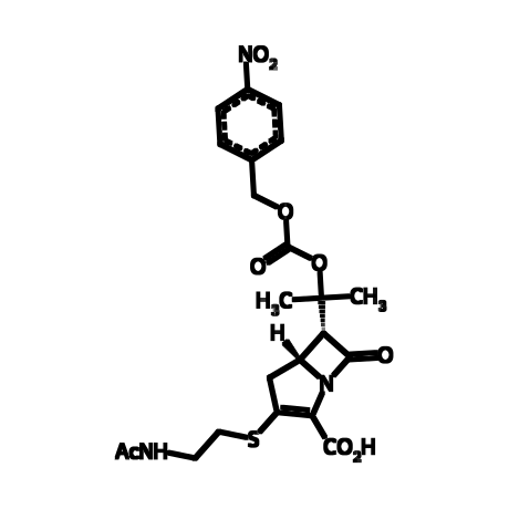 CC(=O)NCCSC1=C(C(=O)O)N2C(=O)[C@@H](C(C)(C)OC(=O)OCc3ccc([N+](=O)[O-])cc3)[C@H]2C1